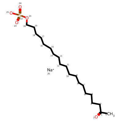 CC(=O)CCCCCCCCCCCCCCCCCCOS(=O)(=O)[O-].[Na+]